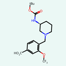 CC(C)(C)OC(=O)N[C@H]1CCCN(Cc2ccc(C(=O)O)cc2OC(F)(F)F)C1